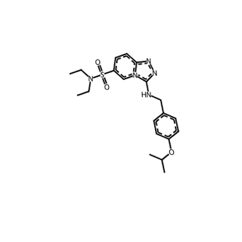 CCN(CC)S(=O)(=O)c1ccc2nnc(NCc3ccc(OC(C)C)cc3)n2c1